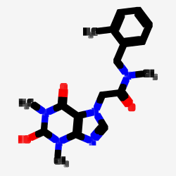 Cc1ccccc1CN(C)C(=O)Cn1cnc2c1C(=O)N(C)C(O)N2C